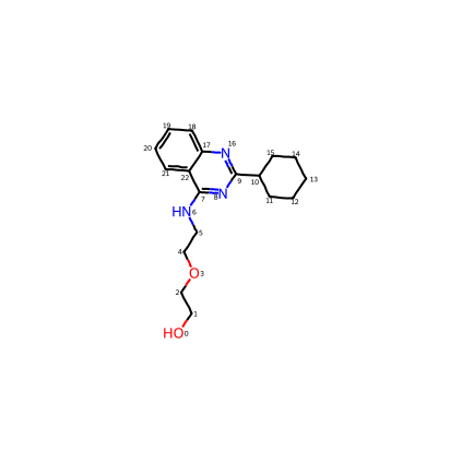 OCCOCCNc1nc(C2CCCCC2)nc2ccccc12